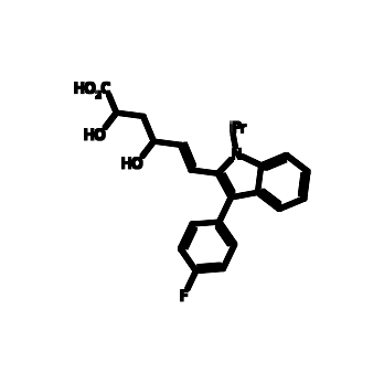 CC(C)n1c(/C=C/C(O)CC(O)C(=O)O)c(-c2ccc(F)cc2)c2ccccc21